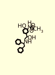 CS(=O)(=O)Nc1cc(C(O)CNC(Cc2ccccc2)c2ccccc2)ccc1O